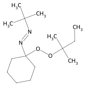 CCC(C)(C)OOC1(N=NC(C)(C)C)CCCCC1